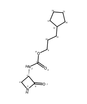 O=C(N[C@H]1CNC1=O)OCCCC1CCCC1